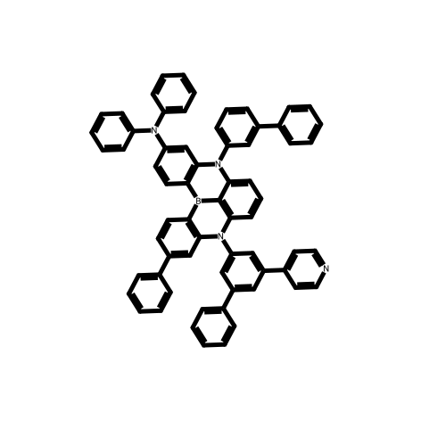 c1ccc(-c2cccc(N3c4cc(N(c5ccccc5)c5ccccc5)ccc4B4c5ccc(-c6ccccc6)cc5N(c5cc(-c6ccccc6)cc(-c6ccncc6)c5)c5cccc3c54)c2)cc1